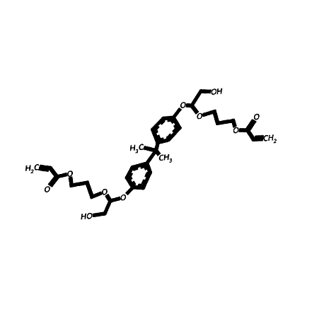 C=CC(=O)OCCCOC(CO)Oc1ccc(C(C)(C)c2ccc(OC(CO)OCCCOC(=O)C=C)cc2)cc1